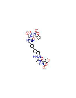 COC(=O)N[C@H](C(=O)N1CCC[C@H]1c1nc2ccc3cc(-c4ccc(-c5cnc([C@@H]6CC7(CN6C(=O)[C@H](NC(=O)OC)c6ccccc6)OCCO7)[nH]5)cc4)ccc3c2[nH]1)C1CCOCC1